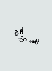 C=CCON=C(c1nc(C)c(C)s1)c1oc2cccc(OCCCNCc3cccnc3)c2c1C